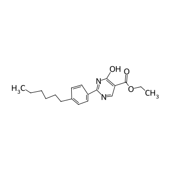 CCCCCCc1ccc(-c2ncc(C(=O)OCC)c(O)n2)cc1